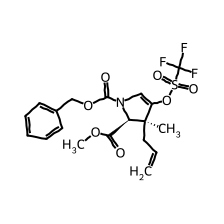 C=CC[C@]1(C)C(OS(=O)(=O)C(F)(F)F)=CN(C(=O)OCc2ccccc2)[C@@H]1C(=O)OC